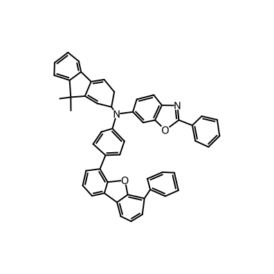 CC1(C)C2=CC(N(c3ccc(-c4cccc5c4oc4c(-c6ccccc6)cccc45)cc3)c3ccc4nc(-c5ccccc5)oc4c3)CC=C2c2ccccc21